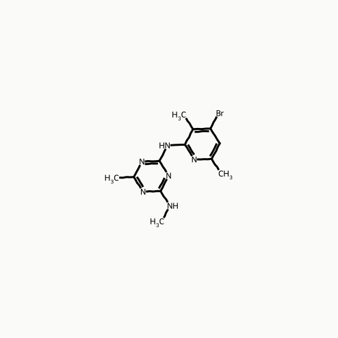 CNc1nc(C)nc(Nc2nc(C)cc(Br)c2C)n1